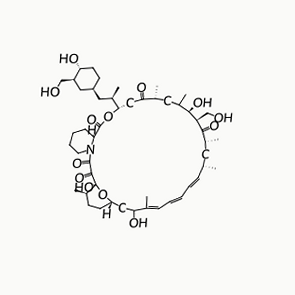 C\C1=C/C=C/C=C/[C@@H](C)C[C@@H](C)C(=O)[C@H](CO)[C@H](O)C(C)C[C@@H](C)C(=O)C[C@@H]([C@H](C)C[C@@H]2CC[C@@H](O)[C@H](CO)C2)OC(=O)[C@@H]2CCCCN2C(=O)C(=O)[C@]2(O)O[C@@H](CC[C@H]2C)CC1O